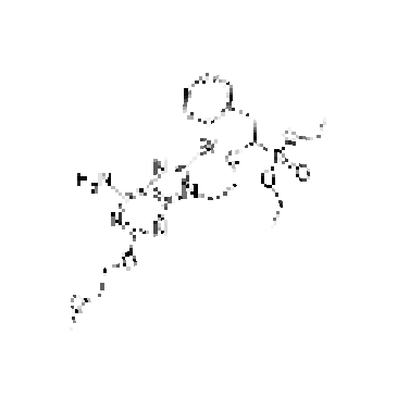 CCOP(=O)(OCC)C(Cc1ccccc1)OCCn1c(Br)nc2c(N)nc(OCCOC)nc21